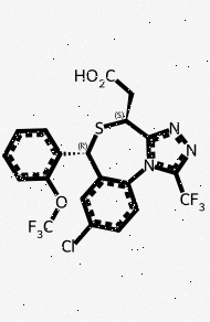 O=C(O)C[C@@H]1S[C@@H](c2ccccc2OC(F)(F)F)c2cc(Cl)ccc2-n2c1nnc2C(F)(F)F